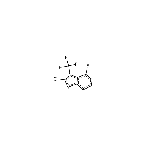 Fc1cccc2nc(Cl)n(C(F)(F)F)c12